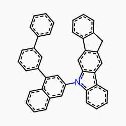 c1ccc(-c2cccc(-c3cc(-n4c5ccccc5c5cc6c(cc54)-c4ccccc4C6)cc4ccccc34)c2)cc1